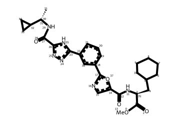 COC(=O)[C@H](CC1CCCCC1)NC(=O)c1cnc(-c2cccc(-c3nnc(C(=O)N[C@@H](C)C4CC4)[nH]3)c2)o1